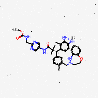 CCNc1ccc([C@H](c2ccc(C)c(CN3CCOc4ccccc4N3)c2)C(C)(C)C(=O)Nc2cnc(CNC(=O)OC(C)(C)C)nc2)c(C)c1N